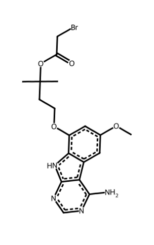 COc1cc(OCCC(C)(C)OC(=O)CBr)c2[nH]c3ncnc(N)c3c2c1